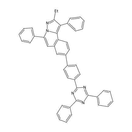 CCc1nn2c(-c3ccccc3)cc3cc(-c4ccc(-c5nc(-c6ccccc6)nc(-c6ccccc6)n5)cc4)ccc3c2c1-c1ccccc1